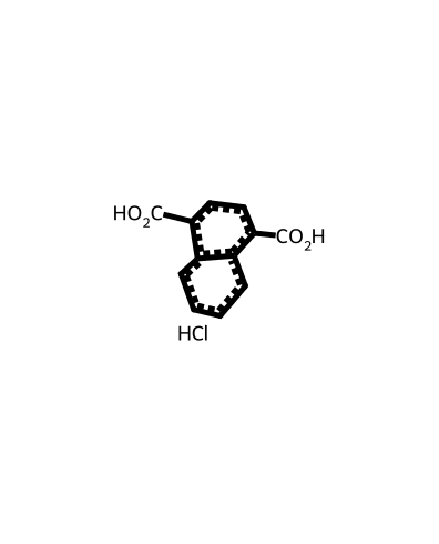 Cl.O=C(O)c1ccc(C(=O)O)c2ccccc12